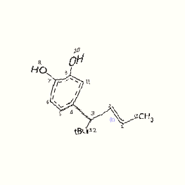 C/C=C/C(c1ccc(O)c(O)c1)C(C)(C)C